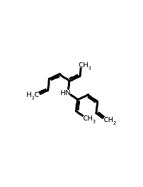 C=C/C=C\C(=C/C)NC(/C=C\C=C)=C/C